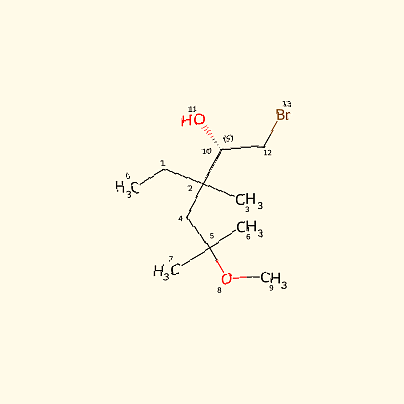 CCC(C)(CC(C)(C)OC)[C@H](O)CBr